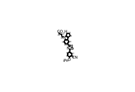 CC(C)Oc1ccc(-c2nc(-c3ccc4c(c3)c3c(n4CCCC(=O)O)CCC3)no2)cc1C#N